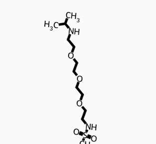 CC(C)NCCOCCOCCOCCNS(C)(=O)=O